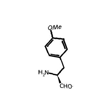 COc1ccc(C[C@H](N)[C]=O)cc1